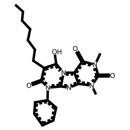 CCCCCCCc1c(O)n2c3c(=O)n(C)c(=O)n(C)c3nc2n(-c2ccccc2)c1=O